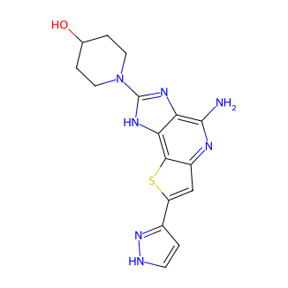 Nc1nc2cc(-c3cc[nH]n3)sc2c2[nH]c(N3CCC(O)CC3)nc12